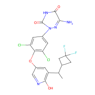 CC(c1cc(Oc2c(Cl)cc(-n3nc(N)c(=O)[nH]c3=O)cc2Cl)cnc1O)C1CC(F)(F)C1